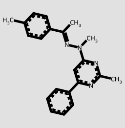 C/C(=N\N(C)c1cc(-c2ccccc2)nc(C)n1)c1ccc(C)cc1